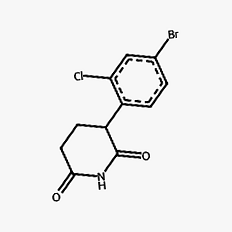 O=C1CCC(c2ccc(Br)cc2Cl)C(=O)N1